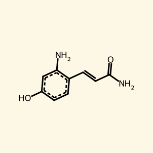 NC(=O)C=Cc1ccc(O)cc1N